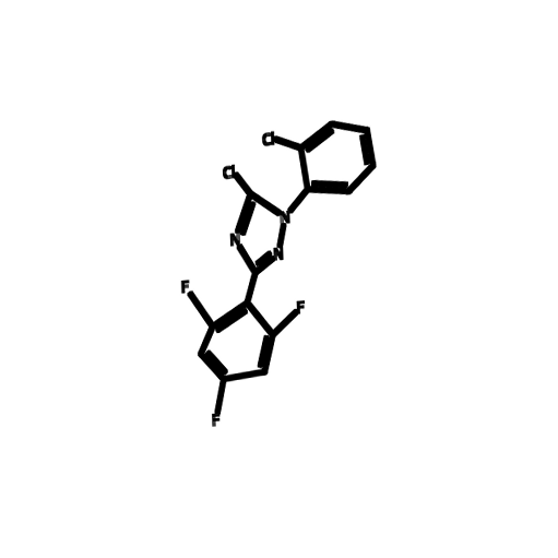 Fc1cc(F)c(-c2nc(Cl)n(-c3ccccc3Cl)n2)c(F)c1